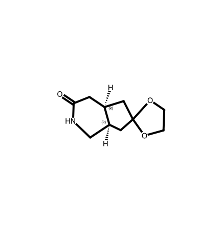 O=C1C[C@H]2CC3(C[C@H]2CN1)OCCO3